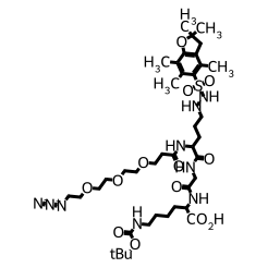 Cc1c(C)c(S(=O)(=O)NNCCCC(NC(=O)CCOCCOCCOCCN=[N+]=[N-])C(=O)NCC(=O)NC(CCCCNC(=O)OC(C)(C)C)C(=O)O)c(C)c2c1OC(C)(C)C2